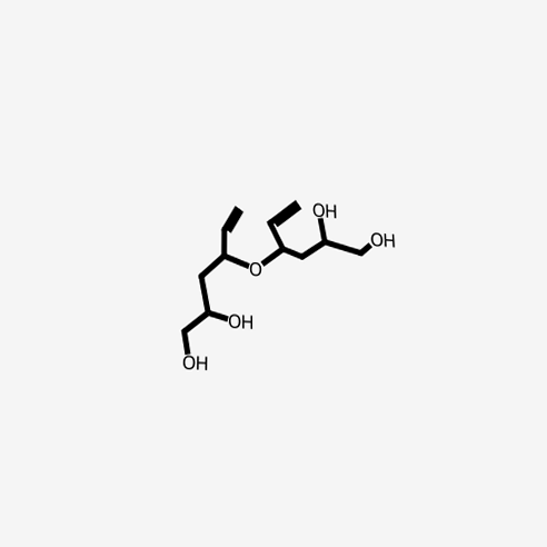 C=CC(CC(O)CO)OC(C=C)CC(O)CO